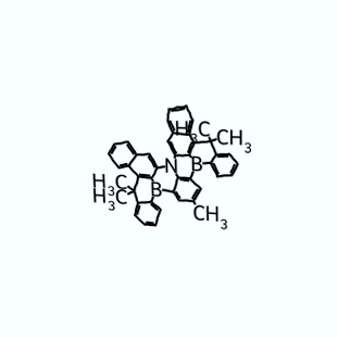 Cc1cc2c3c(c1)B1c4ccccc4C(C)(C)c4c1c(cc1ccccc41)N3c1cc3ccccc3c3c1B2c1ccccc1C3(C)C